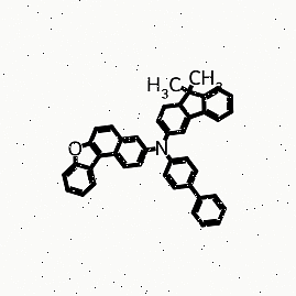 CC1(C)c2ccccc2C2=CC(N(c3ccc(-c4ccccc4)cc3)c3ccc4c(ccc5oc6ccccc6c54)c3)=CCC21